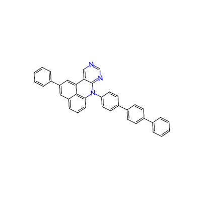 c1ccc(-c2ccc(-c3ccc(N4c5ncncc5-c5cc(-c6ccccc6)cc6cccc4c56)cc3)cc2)cc1